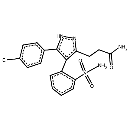 NC(=O)CCc1n[nH]c(-c2ccc(Cl)cc2)c1-c1ccccc1S(N)(=O)=O